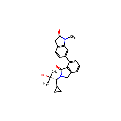 CN1C(=O)Cc2ccc(-c3cccc4c3C(=O)N([C@H](C3CC3)C(C)(C)O)C4)cc21